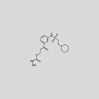 CCCCNC(=O)OCCC(=O)c1cccc(NS(=O)(=O)CCC2CCCCC2)c1